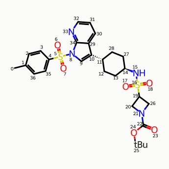 Cc1ccc(S(=O)(=O)n2cc([C@H]3CC[C@H](NS(=O)(=O)C4CN(C(=O)OC(C)(C)C)C4)CC3)c3cccnc32)cc1